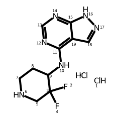 Cl.Cl.FC1(F)CNCCC1Nc1ncnc2[nH]ncc12